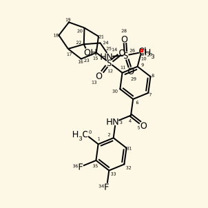 Cc1c(NC(=O)c2ccc(Cl)c(S(=O)(=O)C3CC4CCC(C3)C4(O)CNS(C)(=O)=O)c2)ccc(F)c1F